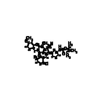 COc1ccc(Cn2c(=O)c3c(c(C#N)c(N4CCC[C@@H](NC(=O)OC(C)(C)C)C4)n3Cc3cc(F)ccc3Cl)n(C)c2=O)cc1